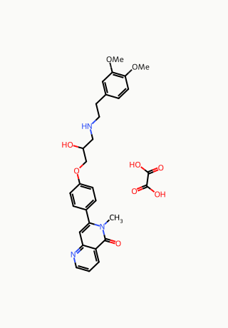 COc1ccc(CCNCC(O)COc2ccc(-c3cc4ncccc4c(=O)n3C)cc2)cc1OC.O=C(O)C(=O)O